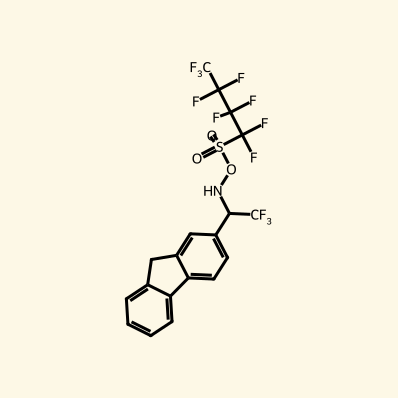 O=S(=O)(ONC(c1ccc2c(c1)Cc1ccccc1-2)C(F)(F)F)C(F)(F)C(F)(F)C(F)(F)C(F)(F)F